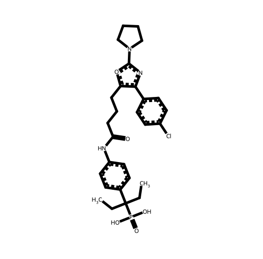 CCC(CC)(c1ccc(NC(=O)CCCc2oc(N3CCCC3)nc2-c2ccc(Cl)cc2)cc1)P(=O)(O)O